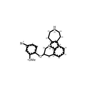 COc1cc(Br)ccc1OC1Cc2cccc3c4c(n(c23)C1)CCNCC4